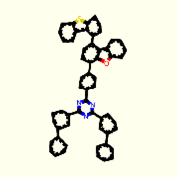 c1ccc(-c2cccc(-c3nc(-c4ccc(-c5ccc(-c6cccc7sc8ccccc8c67)c6c5oc5ccccc56)cc4)nc(-c4cccc(-c5ccccc5)c4)n3)c2)cc1